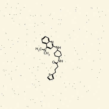 CN(C)c1cc(NC2CCC(NC(=O)CCCc3cccs3)CC2)nc2ccccc12